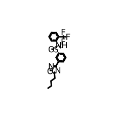 CCCCc1nc(-c2cccc([S+]([O-])Nc3ccccc3C(F)(F)F)c2)no1